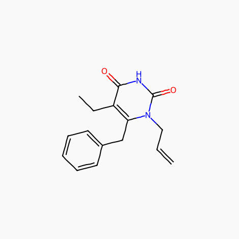 C=CCn1c(Cc2ccccc2)c(CC)c(=O)[nH]c1=O